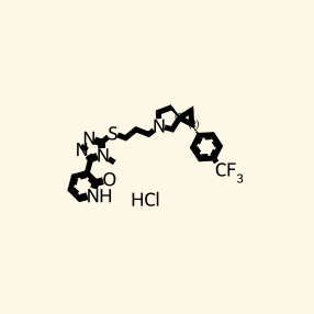 Cl.Cn1c(SCCCN2CC[C@]3(C[C@@H]3c3ccc(C(F)(F)F)cc3)C2)nnc1-c1ccc[nH]c1=O